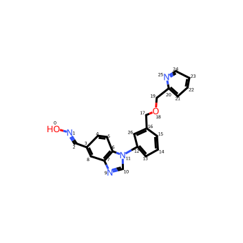 O/N=C/c1ccc2c(c1)ncn2-c1cccc(COCc2ccccn2)c1